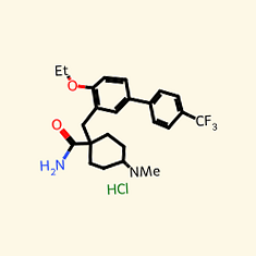 CCOc1ccc(-c2ccc(C(F)(F)F)cc2)cc1CC1(C(N)=O)CCC(NC)CC1.Cl